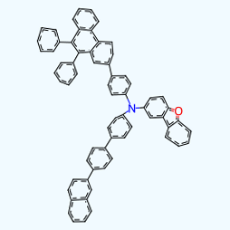 c1ccc(-c2c(-c3ccccc3)c3cc(-c4ccc(N(c5ccc(-c6ccc(-c7ccc8ccccc8c7)cc6)cc5)c5ccc6oc7ccccc7c6c5)cc4)ccc3c3ccccc23)cc1